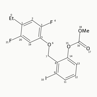 CCc1cc(F)c(OCc2c(I)cccc2OC(=O)OC)cc1F